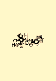 CCc1c(C)c(NC(=O)NC(=O)c2ccc3nccnc3c2)cc(C(=O)O)c1Cl